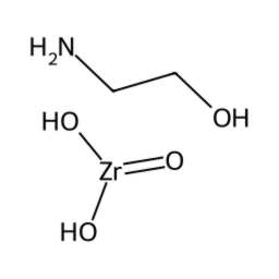 NCCO.[O]=[Zr]([OH])[OH]